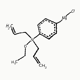 C=CC[Si](CC=C)(OCC)c1cc[c]([Mg][Cl])cc1